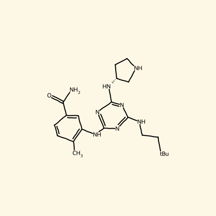 Cc1ccc(C(N)=O)cc1Nc1nc(NCCC(C)(C)C)nc(N[C@@H]2CCNC2)n1